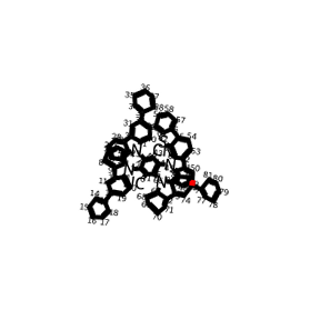 N#Cc1c(-n2c3ccccc3c3cc(-c4ccccc4)ccc32)c(-n2c3ccccc3c3cc(-c4ccccc4)ccc32)c(C#N)c(-n2c3ccccc3c3ccc4c5ccccc5sc4c32)c1-n1c2ccccc2c2cc(-c3ccccc3)ccc21